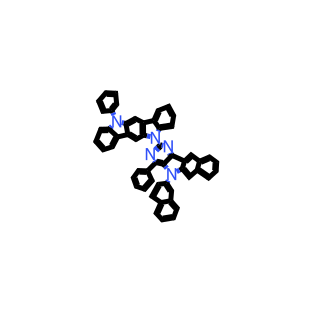 c1ccc(-c2nc(-n3c4ccccc4c4cc5c(cc43)c3ccccc3n5-c3ccccc3)nc3c4cc5ccccc5cc4n(-c4ccc5ccccc5c4)c23)cc1